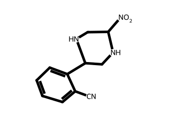 N#Cc1ccccc1C1CNC([N+](=O)[O-])CN1